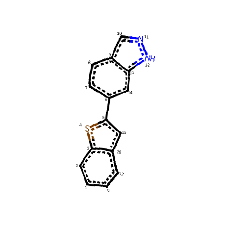 c1ccc2sc(-c3ccc4cn[nH]c4c3)cc2c1